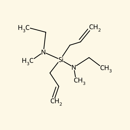 C=CC[Si](CC=C)(N(C)CC)N(C)CC